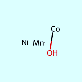 [Mn].[Ni].[OH][Co]